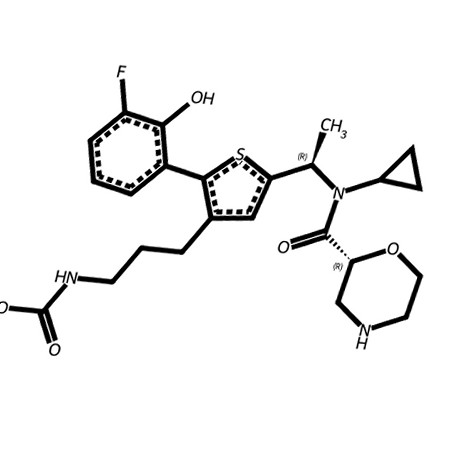 COC(=O)NCCCc1cc([C@@H](C)N(C(=O)[C@H]2CNCCO2)C2CC2)sc1-c1cccc(F)c1O